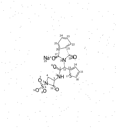 O=C(NC1CN(S(=O)(=O)[O-])C1=O)C(c1cccs1)N1C(=O)c2ccccc2C1=O.[Na+]